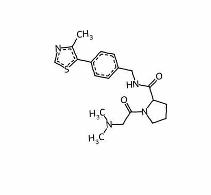 Cc1ncsc1-c1ccc(CNC(=O)C2CCCN2C(=O)CN(C)C)cc1